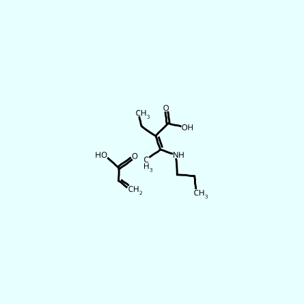 C=CC(=O)O.CCCN/C(C)=C(/CC)C(=O)O